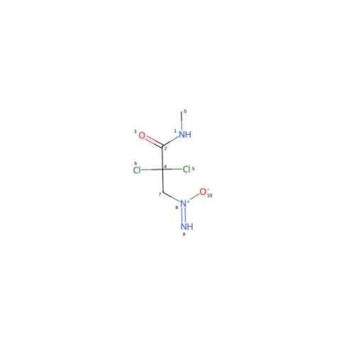 CNC(=O)C(Cl)(Cl)C[N+](=N)[O-]